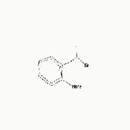 CNc1ccccc1C(C)Br